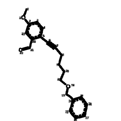 COc1ccc(C#CCCCCOCc2ccccc2)c(C=O)c1